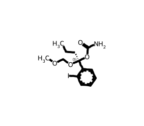 CCC[C@](OCOC)(OC(N)=O)c1ccccc1I